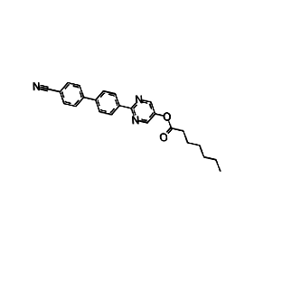 CCCCCCC(=O)Oc1cnc(-c2ccc(-c3ccc(C#N)cc3)cc2)nc1